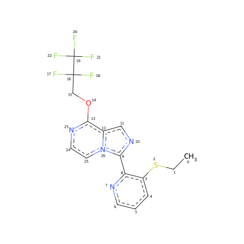 CCSc1cccnc1-c1ncc2c(OCC(F)(F)C(F)(F)F)nccn12